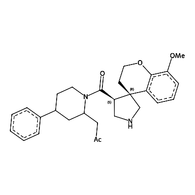 COc1cccc2c1OCC[C@]21CNC[C@H]1C(=O)N1CCC(c2ccccc2)CC1CC(C)=O